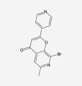 Cc1cc2c(=O)cc(-c3ccncc3)oc2c(Br)n1